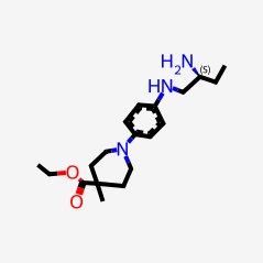 CCOC(=O)C1(C)CCN(c2ccc(NC[C@@H](N)CC)cc2)CC1